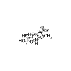 Cc1nc(N[C@@H]2O[C@H](CO)[C@@H](O)[C@H]2O)ncc1[N+](=O)[O-]